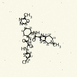 Cc1nnc([C@H]2CC[C@H](NC(=O)C(=O)Nc3ccc(Cl)s3)[C@H](NC(=O)c3nc4c(s3)CN(C)CC4)C2)o1